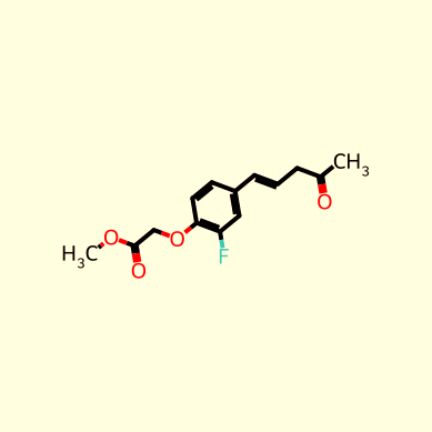 COC(=O)COc1ccc(C=CCC(C)=O)cc1F